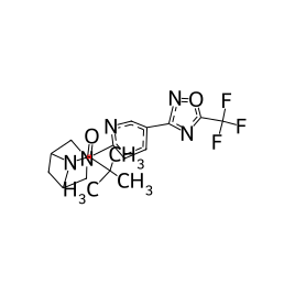 CC(C)(C)C(=O)N1C2CC1CN(c1ccc(-c3noc(C(F)(F)F)n3)cn1)C2